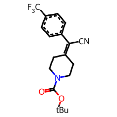 CC(C)(C)OC(=O)N1CCC(=C(C#N)c2ccc(C(F)(F)F)cc2)CC1